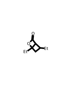 CCC1CC2(CC)OC(=O)C12